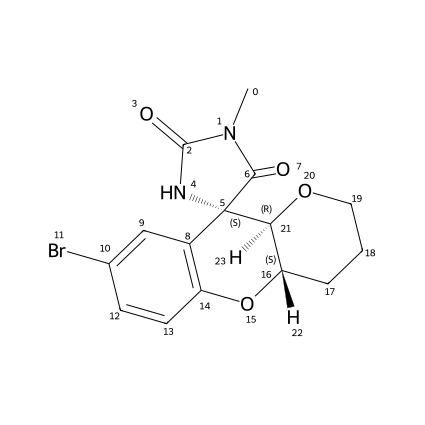 CN1C(=O)N[C@@]2(C1=O)c1cc(Br)ccc1O[C@H]1CCCO[C@@H]12